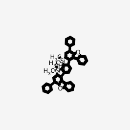 C[Si]1(C)c2cc(-c3ccccc3)c3oc4ccccc4c3c2-c2ccc3c(c21)[Si](C)(C)c1cc(-c2ccccc2)c2oc4ccccc4c2c1-3